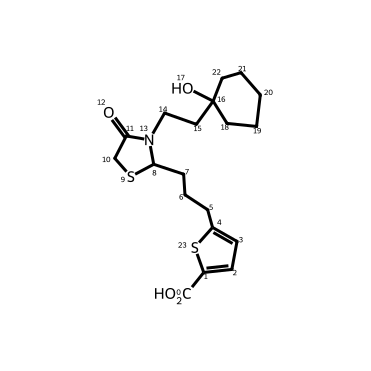 O=C(O)c1ccc(CCCC2SCC(=O)N2CCC2(O)CCCCC2)s1